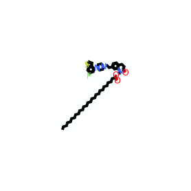 CCCCCCCCCCCCCCCCCCCCCCCCCCC(=O)OCN1C(=O)CCc2ccc(CCN3CCN(c4cc(F)cc5sccc45)CC3)cc21